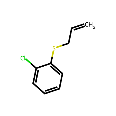 C=CCSc1ccccc1Cl